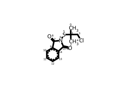 CC(C)(CCl)SN1C(=O)c2ccccc2C1=O